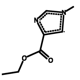 CCOC(=O)c1[c]n(C)cn1